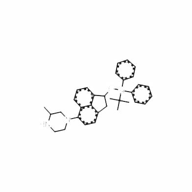 CC1CN(c2ccc3c4c(cccc24)C(O[Si](c2ccccc2)(c2ccccc2)C(C)(C)C)C3)CCN1